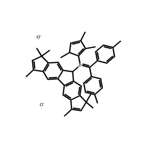 CC1=CC(C)[C]([Zr+2](=[C](c2ccc(C)cc2)c2ccc(C)cc2)[CH]2c3cc4c(cc3-c3cc5c(cc32)C(C)(C)C=C5C)C(C)=CC4(C)C)=C1C.[Cl-].[Cl-]